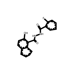 O=C(NNC(=O)c1c(O)ccc2ccccc12)c1ccccc1F